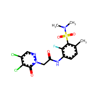 Cc1ccc(NC(=O)Cn2ncc(Cl)c(Cl)c2=O)c(F)c1S(=O)(=O)N(C)C